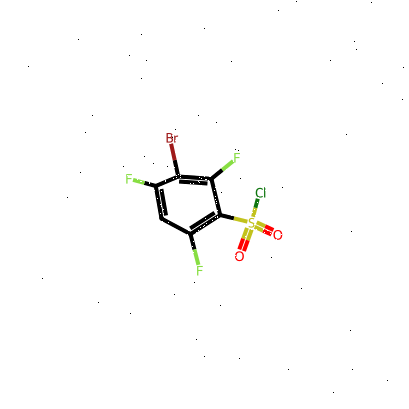 O=S(=O)(Cl)c1c(F)cc(F)c(Br)c1F